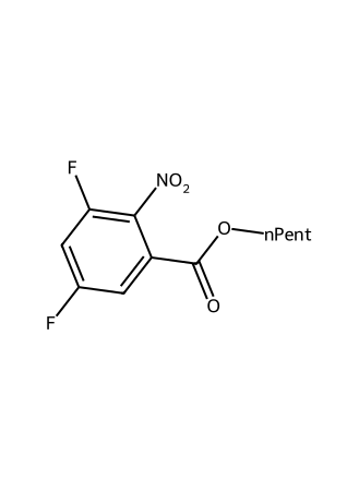 CCCCCOC(=O)c1cc(F)cc(F)c1[N+](=O)[O-]